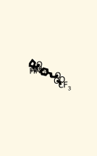 NC1(C(=O)Nc2ccc(/C=C/C(=O)OC(=O)C(F)(F)F)cc2)CCCC1